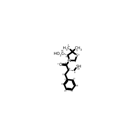 CC1(C)SCN(C(=O)[C@H](CS)Cc2ccccc2)[C@@H]1C(=O)O